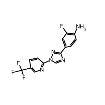 Nc1ccc(-c2ncn(-c3ccc(C(F)(F)F)cn3)n2)cc1F